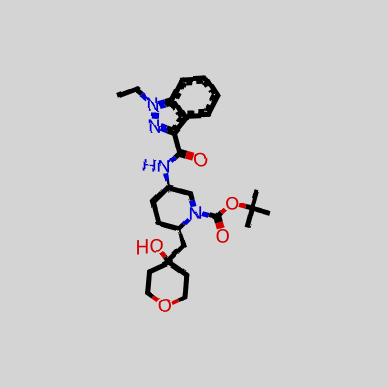 CCn1nc(C(=O)N[C@@H]2CC[C@H](CC3(O)CCOCC3)N(C(=O)OC(C)(C)C)C2)c2ccccc21